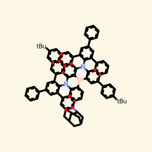 CC(C)(C)c1ccc(-c2ccc3c(c2)B2c4ccc(N5C6CC7CC(C6)CC5C7)cc4N(c4c(-c5ccccc5)cc(-c5ccccc5)cc4-c4ccccc4)c4cc(-c5ccc(C(C)(C)C)cc5)cc(c42)N3c2c(-c3ccccc3)cc(-c3ccccc3)cc2-c2ccccc2)cc1